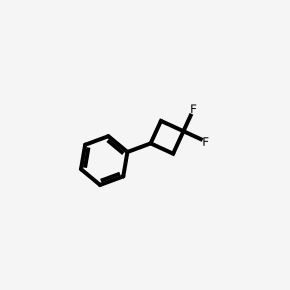 FC1(F)CC(c2ccccc2)C1